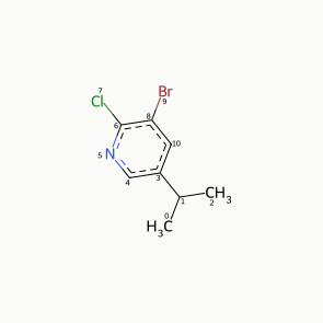 CC(C)c1cnc(Cl)c(Br)c1